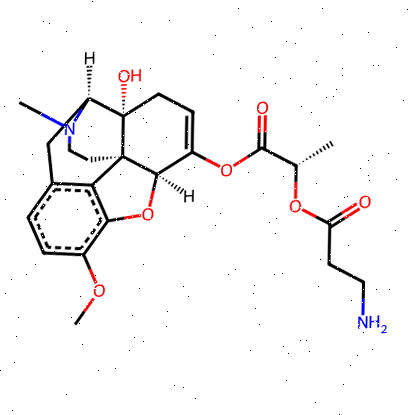 COc1ccc2c3c1O[C@@H]1C(OC(=O)[C@H](C)OC(=O)CCN)=CC[C@]4(O)[C@H](C2)N(C)CC[C@@]314